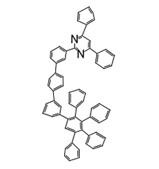 c1ccc(-c2cc(-c3ccccc3)nc(-c3cccc(-c4ccc(-c5cccc(-c6cc(-c7ccccc7)c(-c7ccccc7)c(-c7ccccc7)c6-c6ccccc6)c5)cc4)c3)n2)cc1